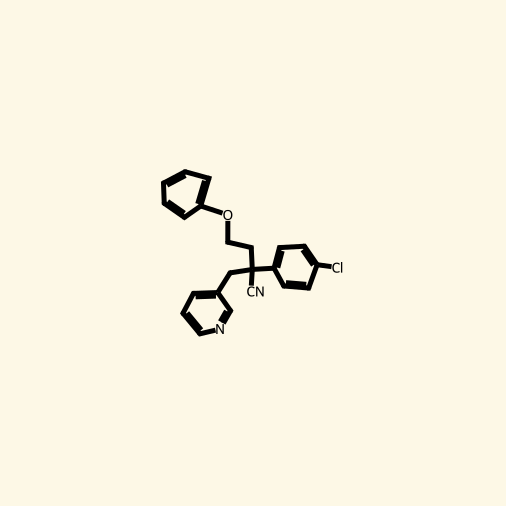 N#CC(CCOc1ccccc1)(Cc1cccnc1)c1ccc(Cl)cc1